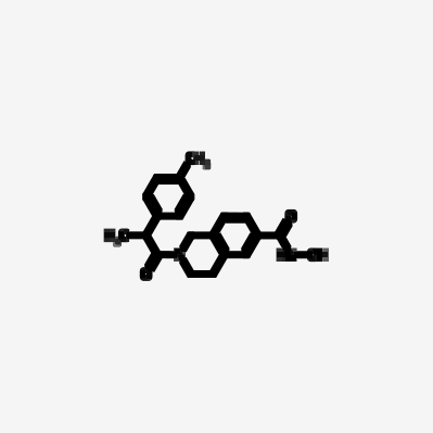 Cc1ccc(C(C)C(=O)N2CCc3cc(C(=O)NO)ccc3C2)cc1